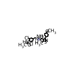 COc1ccc(-c2nsc(C)c2C(=O)/N=C(\N)NCc2cc(Cl)c(NC(C)=O)c(Cl)c2)cc1